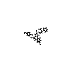 CN(C(=O)Oc1ccc(F)cc1)[C@@H]1CN(C(=O)C2CCN(c3ccncn3)CC2)C[C@H]1c1ccc(Cl)cc1